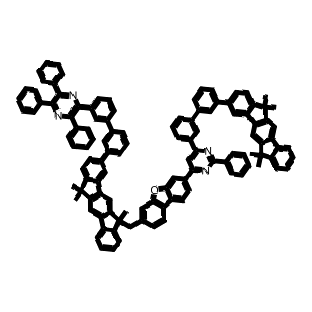 CC1(C)c2ccccc2-c2cc3c(cc21)-c1cc(-c2cccc(-c4cccc(-c5cc(-c6ccc7c(c6)oc6cc(CC8(C)c9ccccc9-c9cc%10c(cc98)-c8cc(-c9cccc(-c%11cccc(-c%12nc(-c%13ccccc%13)c(-c%13ccccc%13)nc%12-c%12ccccc%12)c%11)c9)ccc8C%10(C)C)ccc67)nc(-c6ccccc6)n5)c4)c2)ccc1C3(C)C